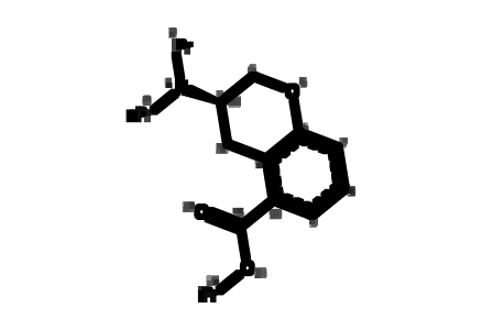 CCCN(C(C)C)[C@H]1COc2cccc(C(=O)OC(C)C)c2C1